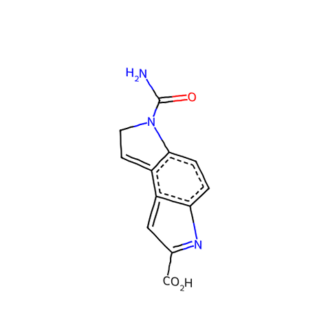 NC(=O)N1CC=c2c1ccc1c2=CC(C(=O)O)=N1